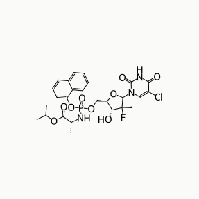 CC(C)OC(=O)[C@@H](C)N[P@](=O)(OC[C@H]1OC(n2cc(Cl)c(=O)[nH]c2=O)[C@](C)(F)[C@@H]1O)Oc1cccc2ccccc12